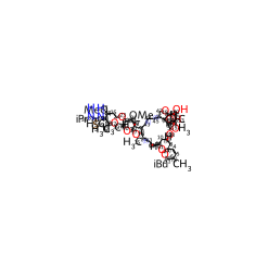 CCC(C)[C@H]1O[C@]2(C=C[C@@H]1C)C[C@@H]1C[C@@H](C/C=C(\C)[C@@H](OC3C[C@H](OC)[C@@H](OC4C[C@H](OC)[C@@](C)(NC(=S)NC(C)C)[C@H](C)O4)[C@H](C)O3)C(C)/C=C/C=C3\CO[C@@H]4[C@H](O)C(C)=C[C@@H](C(=O)O1)[C@]34O)O2